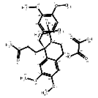 COc1ccc(C[C@]2(CCC(N)=O)c3cc(OC)c(OC)cc3CCN2C(C)(C)C)cc1OC.O=C(O)C(=O)O